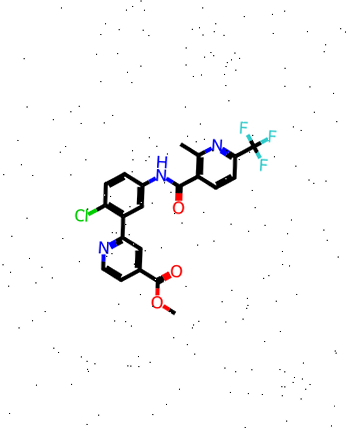 COC(=O)c1ccnc(-c2cc(NC(=O)c3ccc(C(F)(F)F)nc3C)ccc2Cl)c1